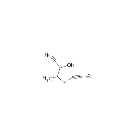 C#CC(O)C(C)CC#CCC